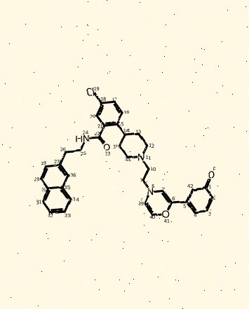 O=C1C=CC=C(C2=CN(CCN3CCC(c4ccc(Cl)cc4C(=O)NCCc4ccc5ccccc5c4)CC3)C=CO2)C1